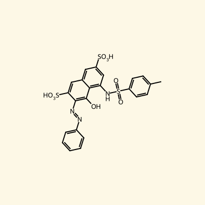 Cc1ccc(S(=O)(=O)Nc2cc(S(=O)(=O)O)cc3cc(S(=O)(=O)O)c(/N=N/c4ccccc4)c(O)c23)cc1